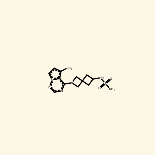 Cc1ccn2ncnc(N3CC4(CC(NS(N)(=O)=O)C4)C3)c12